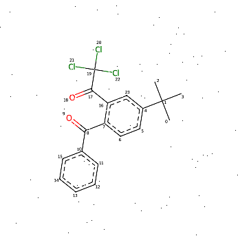 CC(C)(C)c1ccc(C(=O)c2ccccc2)c(C(=O)C(Cl)(Cl)Cl)c1